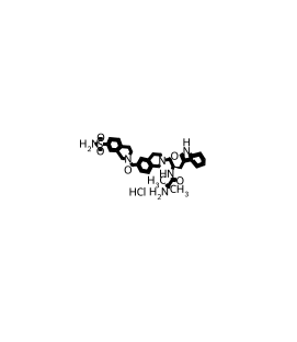 CC(C)(N)C(=O)N[C@H](Cc1c[nH]c2ccccc12)C(=O)N1CCc2cc(C(=O)N3CCc4ccc(S(N)(=O)=O)cc4C3)ccc2C1.Cl